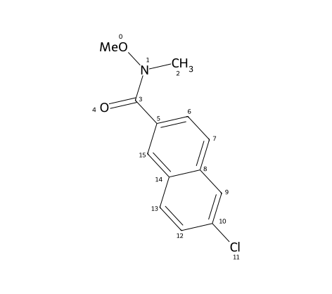 CON(C)C(=O)c1ccc2cc(Cl)ccc2c1